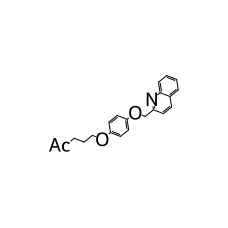 CC(=O)CCCOc1ccc(OCc2ccc3ccccc3n2)cc1